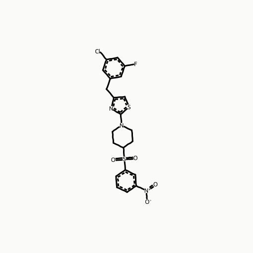 O=[N+]([O-])c1cccc(S(=O)(=O)C2CCN(c3nc(Cc4cc(F)cc(Cl)c4)cs3)CC2)c1